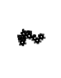 CC(C)C[C@H](NS(=O)(=O)c1ccccc1F)C(=O)NC1CCN(C(=O)Cc2cccc(-c3ccccn3)c2)CC1O